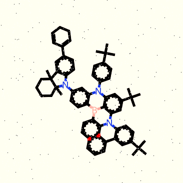 CC(C)(C)c1ccc(N2c3cc(N4c5ccc(C6=CCCC=C6)cc5C5(C)CCCCC45C)ccc3B3c4ccccc4N(c4ccc(C(C)(C)C)cc4-c4ccccc4)c4cc(C(C)(C)C)cc2c43)cc1